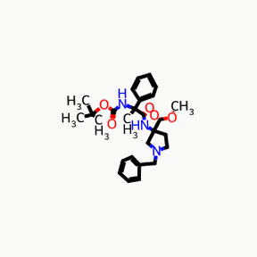 COC(=O)C1(NC(=O)C(C)(NC(=O)OC(C)(C)C)c2ccccc2)CCN(Cc2ccccc2)C1